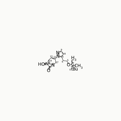 CC(C)(C)[Si](C)(C)OCCc1ccnn1C1=CC2CN(C1)C(=O)N2O